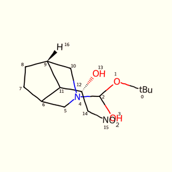 CC(C)(C)OC(O)N1CC2CC[C@H](C1)C2[C@H](O)C[N+](=O)[O-]